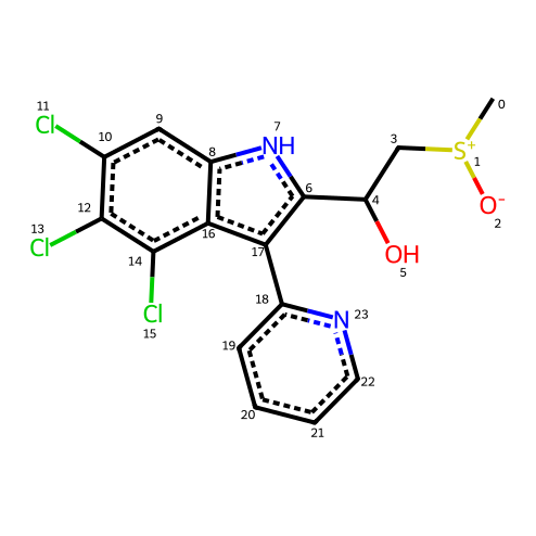 C[S+]([O-])CC(O)c1[nH]c2cc(Cl)c(Cl)c(Cl)c2c1-c1ccccn1